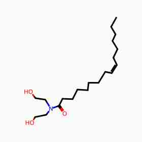 CCCCCC/C=C\CCCCCCCC(=O)N(CCO)CCO